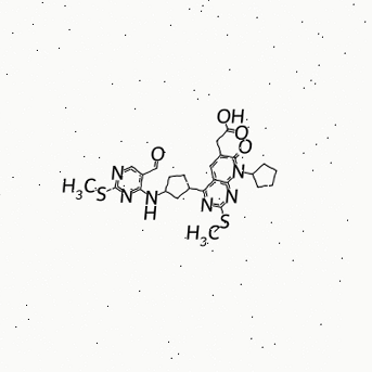 CSc1ncc(C=O)c(NC2CCC(c3nc(SC)nc4c3cc(CC(=O)O)c(=O)n4C3CCCC3)C2)n1